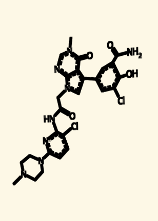 CN1CCN(c2ccc(Cl)c(NC(=O)Cn3cc(-c4cc(Cl)c(O)c(C(N)=O)c4)c4c(=O)n(C)cnc43)n2)CC1